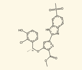 COC(=O)c1sc(-c2nc3ccc(S(C)(=O)=O)cc3[nH]2)cc1O[C@H](C)c1cccc(O)c1Cl